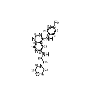 Fc1ccc(Nc2ncnc3cnc(NCCN4CCOCC4)cc23)cn1